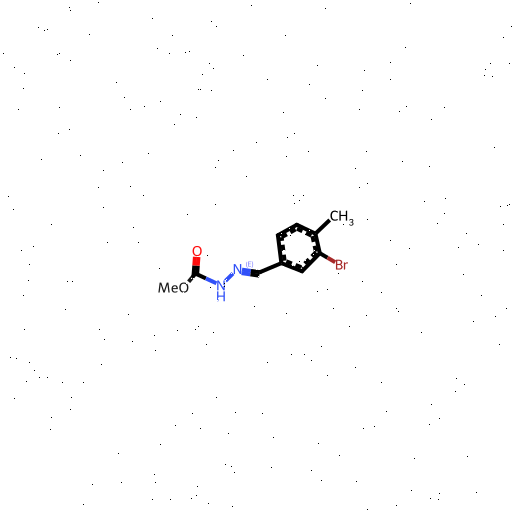 COC(=O)N/N=C/c1ccc(C)c(Br)c1